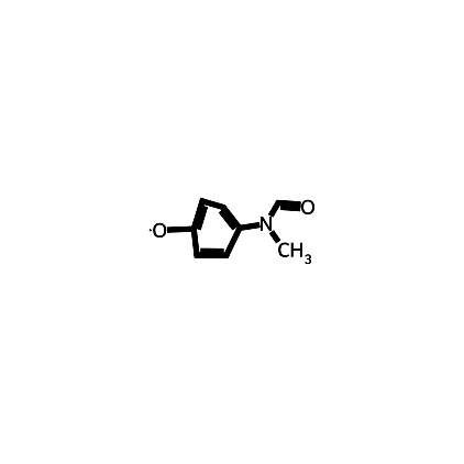 CN(C=O)c1ccc([O])cc1